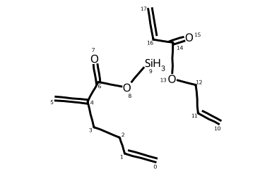 C=CCCC(=C)C(=O)O[SiH3].C=CCOC(=O)C=C